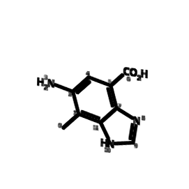 Cc1c(N)cc(C(=O)O)c2nc[nH]c12